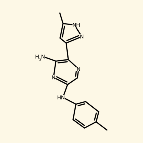 Cc1ccc(Nc2cnc(-c3cc(C)[nH]n3)c(N)n2)cc1